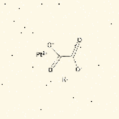 O=C([O-])C(=O)[O-].[K].[Pt+2]